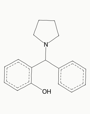 Oc1ccccc1C(c1ccccc1)N1CCCC1